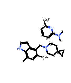 COc1cc(C)c2[nH]ccc2c1CN1CCC2(CC2)C[C@H]1c1ccc(C(=O)O)nc1N(C)C